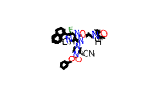 Cc1cccc2cccc(-c3ncc4c(N5CCN(C(=O)OCc6ccccc6)[C@@H](CC#N)C5)nc(OCCCN5CC6C[C@H]5CO6)nc4c3F)c12